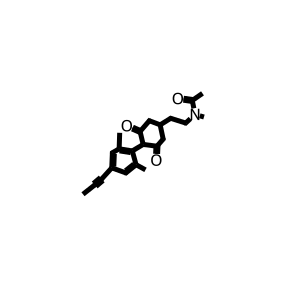 CC#Cc1cc(C)c(C2C(=O)CC(CCN(C)C(C)=O)CC2=O)c(C)c1